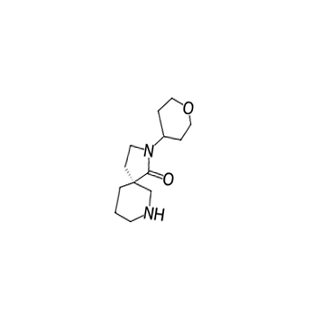 O=C1N(C2CCOCC2)CC[C@]12CCCNC2